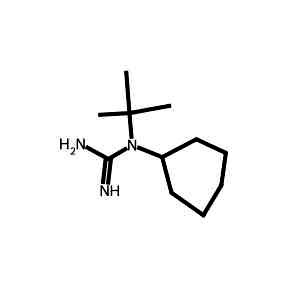 CC(C)(C)N(C(=N)N)C1CCCCC1